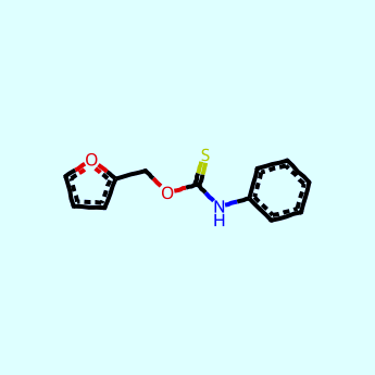 S=C(Nc1ccccc1)OCc1ccco1